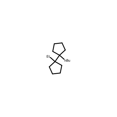 CCCCC1(C2(CC)CCCC2)CCCC1